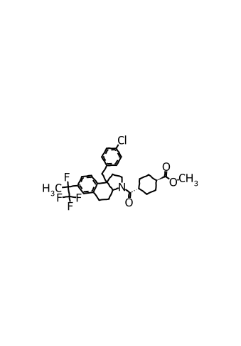 COC(=O)[C@H]1CC[C@H](C(=O)N2CCC3(Cc4ccc(Cl)cc4)c4ccc(C(C)(F)C(F)(F)F)cc4CCC23)CC1